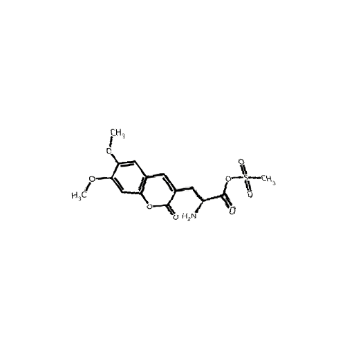 COc1cc2cc(C[C@H](N)C(=O)OS(C)(=O)=O)c(=O)oc2cc1OC